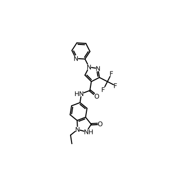 CCn1[nH]c(=O)c2cc(NC(=O)c3cn(-c4ccccn4)nc3C(F)(F)F)ccc21